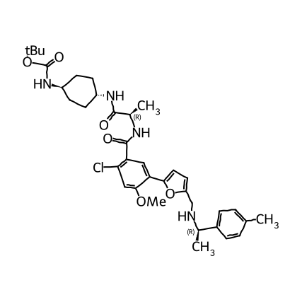 COc1cc(Cl)c(C(=O)N[C@H](C)C(=O)N[C@H]2CC[C@H](NC(=O)OC(C)(C)C)CC2)cc1-c1ccc(CN[C@H](C)c2ccc(C)cc2)o1